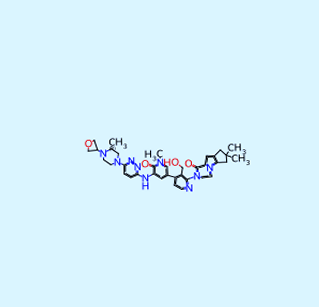 C[C@@H]1CN(c2ccc(Nc3cc(-c4ccnc(-n5ccn6c7c(cc6c5=O)CC(C)(C)C7)c4CO)cn(C)c3=O)nn2)CCN1C1COC1